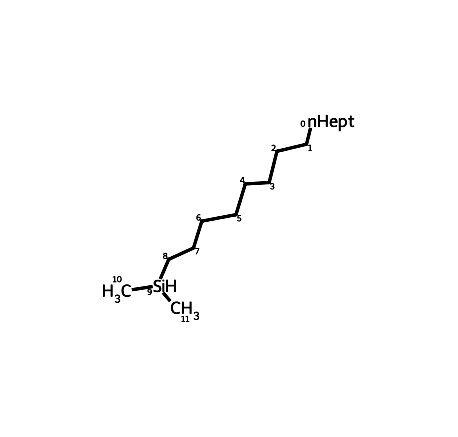 CCCCCCCCCCCCCCC[SiH](C)C